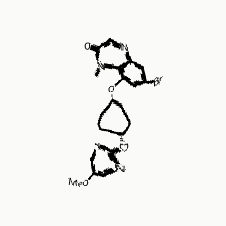 COc1cnc(O[C@H]2CC[C@@H](Oc3cc(Br)cc4ncc(=O)n(C)c34)CC2)nc1